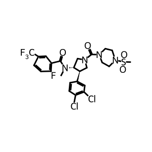 CN(C(=O)c1cc(C(F)(F)F)ccc1F)[C@@H]1CN(C(=O)N2CCN(S(C)(=O)=O)CC2)C[C@H]1c1ccc(Cl)c(Cl)c1